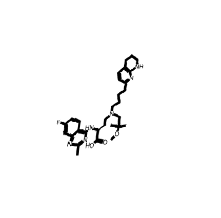 COC(C)(C)CN(CCCCc1ccc2c(n1)NCCC2)CC[C@H](Nc1nc(C)nc2cc(F)ccc12)C(=O)O